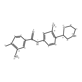 Cc1ccc(C(=O)Nc2ccc(C3CNCCO3)c(C(F)(F)F)c2)cc1[N+](=O)[O-]